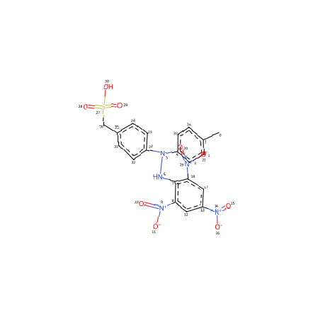 Cc1ccc(N(Nc2c([N+](=O)[O-])cc([N+](=O)[O-])cc2[N+](=O)[O-])c2ccc(CS(=O)(=O)O)cc2)cc1